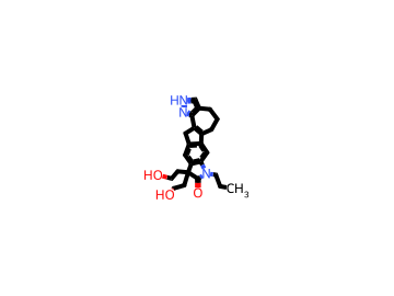 CCCN1C(=O)C(CCO)(CCO)c2cc3c(cc21)C1=C(C3)c2n[nH]cc2CCC1